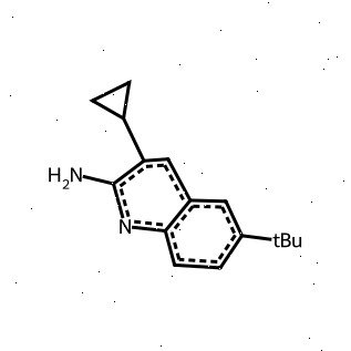 CC(C)(C)c1ccc2nc(N)c(C3CC3)cc2c1